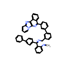 C=Nc1ccccc1/C(=N\Cc1cccc(-c2cccc(-c3nc4c(nc5ccccn54)c4ccccc34)c2)c1)c1ccc(-c2ccccc2)cc1